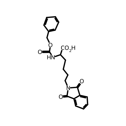 O=C(NC(CCCCN1C(=O)c2ccccc2C1=O)C(=O)O)OCc1ccccc1